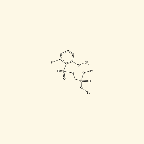 CCOP(=O)(COS(=O)(=O)c1c(F)cccc1SC(F)(F)F)OC(C)C